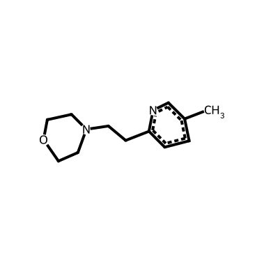 Cc1ccc(CCN2CCOCC2)nc1